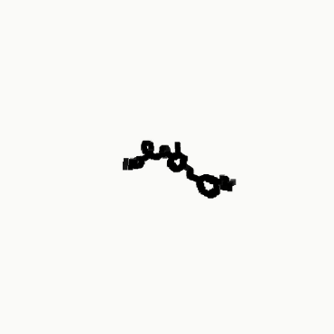 Cc1cc(C=Cc2cccc(Br)c2)ccc1OCC(=O)O